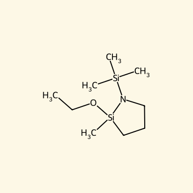 CCO[Si]1(C)CCCN1[Si](C)(C)C